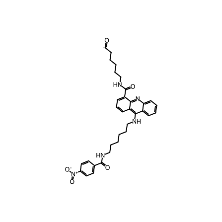 O=[C]CCCCCNC(=O)c1cccc2c(NCCCCCCNC(=O)c3ccc([N+](=O)[O-])cc3)c3ccccc3nc12